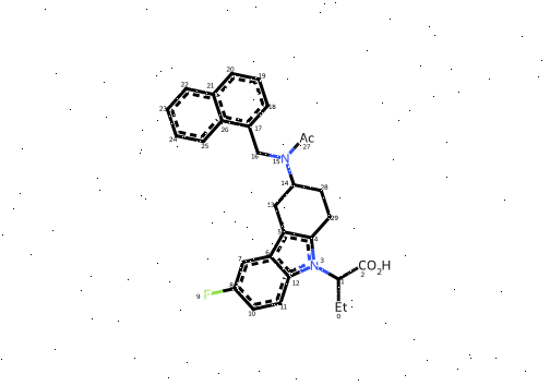 CCC(C(=O)O)n1c2c(c3cc(F)ccc31)CC(N(Cc1cccc3ccccc13)C(C)=O)CC2